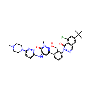 CN1CCN(c2ccc(Nc3cc(-c4cccc(-n5ncc6cc(C(C)(C)C)cc(F)c6c5=O)c4CO)nn(C)c3=O)nn2)CC1